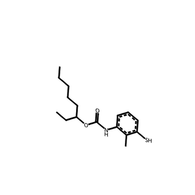 CCCCCC(CC)OC(=O)Nc1cccc(S)c1C